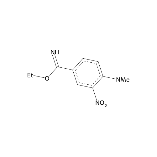 CCOC(=N)c1ccc(NC)c([N+](=O)[O-])c1